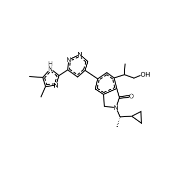 Cc1nc(-c2cc(-c3cc4c(c(C(C)CO)c3)C(=O)N([C@@H](C)C3CC3)C4)cnn2)[nH]c1C